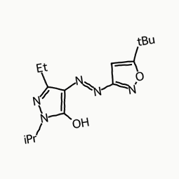 CCc1nn(C(C)C)c(O)c1/N=N/c1cc(C(C)(C)C)on1